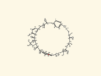 CN1CCOc2ccc(cc2)C(=O)NCc2ccc(F)c(c2)C(=O)NC(CC(C)(C)C)C(=O)Nc2ccc(cc2)CCN(C)C(=O)CC(C)(C)CC1=O